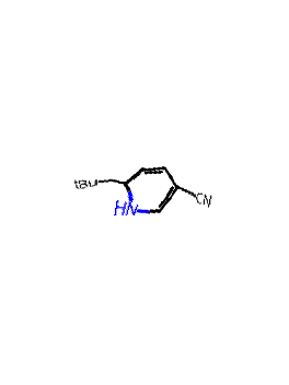 CC(C)(C)C1C=CC(C#N)=CN1